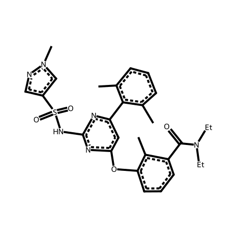 CCN(CC)C(=O)c1cccc(Oc2cc(-c3c(C)cccc3C)nc(NS(=O)(=O)c3cnn(C)c3)n2)c1C